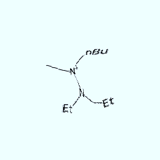 CCCC[N+](C)N(CC)CC